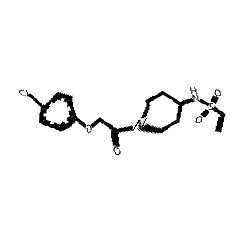 C=CS(=O)(=O)NC1CCN(C(=O)COc2ccc(Cl)cc2)CC1